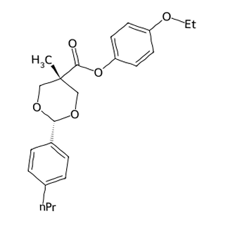 CCCc1ccc([C@H]2OC[C@@](C)(C(=O)Oc3ccc(OCC)cc3)CO2)cc1